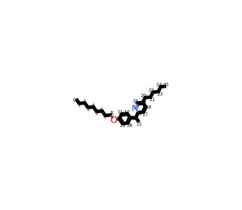 CCCCCCCCCOc1ccc(C(C)c2ccc(CCCCCC)cn2)cc1